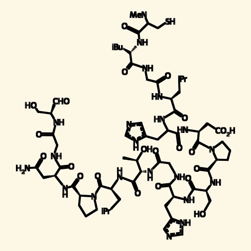 CC[C@H](C)[C@H](NC(=O)C(CS)NC)C(=O)NCC(=O)N[C@@H](CC(C)C)C(=O)NC(Cc1cnc[nH]1)C(=O)N[C@@H](CC(=O)O)C(=O)N1CCC[C@H]1C(=O)N[C@@H](CO)C(=O)N[C@@H](Cc1cnc[nH]1)C(=O)NCC(=O)N[C@H](C(=O)N[C@@H](CC(C)C)C(=O)N1CCC[C@H]1C(=O)N[C@@H](CC(N)=O)C(=O)NCC(=O)N[C@H](C=O)CO)[C@@H](C)O